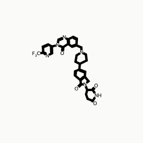 O=C1CCC(N2Cc3cc(C4CCN(Cc5ccc6ncn(-c7ccc(C(F)(F)F)nc7)c(=O)c6c5)CC4)ccc3C2=O)C(=O)N1